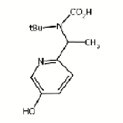 CC(c1ccc(O)cn1)N(C(=O)O)C(C)(C)C